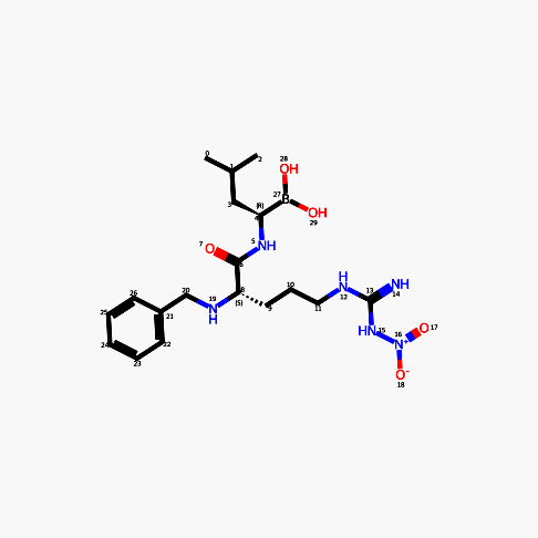 CC(C)C[C@H](NC(=O)[C@H](CCCNC(=N)N[N+](=O)[O-])NCc1ccccc1)B(O)O